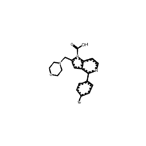 O=C(O)n1c(CN2CCOCC2)cc2c(-c3ccc(Br)cc3)nccc21